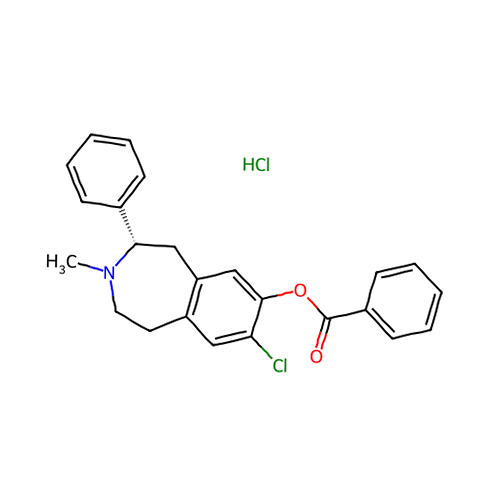 CN1CCc2cc(Cl)c(OC(=O)c3ccccc3)cc2C[C@H]1c1ccccc1.Cl